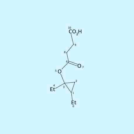 CCC1CC1(CC)OC(=O)CCC(=O)O